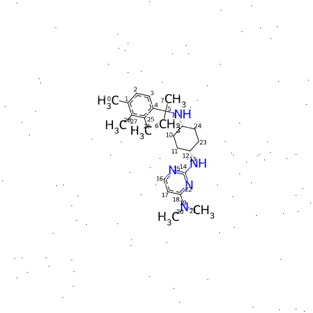 Cc1ccc(C(C)(C)N[C@H]2CC[C@@H](Nc3nccc(N(C)C)n3)CC2)c(C)c1C